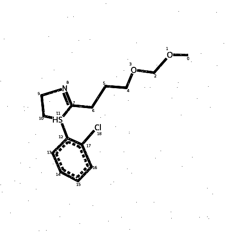 COCOCCCC1=NCC[SH]1c1ccccc1Cl